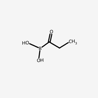 CCC(=O)B(O)O